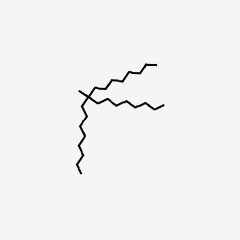 [CH2]C(CCCCCCCC)(CCCCCCCC)CCCCCCCC